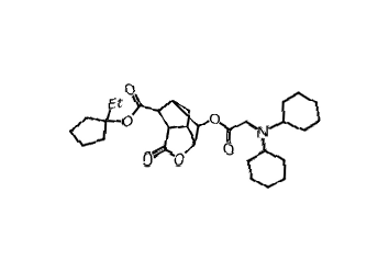 CCC1(OC(=O)C2C3CC4C(OC(=O)C42)C3OC(=O)CN(C2CCCCC2)C2CCCCC2)CCCC1